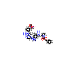 C[C@H](Nc1nccc(-n2cnc3cc(NCC4CCCN4C(=O)OCc4ccccc4)ccc32)n1)c1cccc([N+](=O)[O-])c1